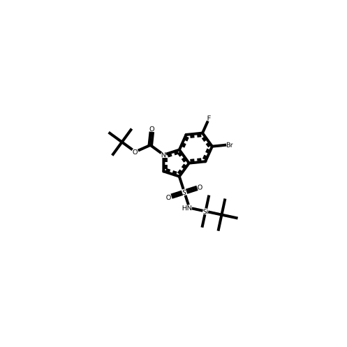 CC(C)(C)OC(=O)n1cc(S(=O)(=O)N[Si](C)(C)C(C)(C)C)c2cc(Br)c(F)cc21